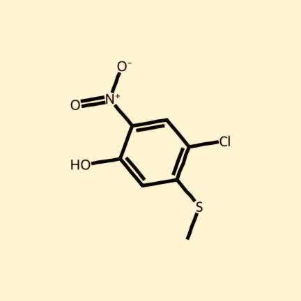 CSc1cc(O)c([N+](=O)[O-])cc1Cl